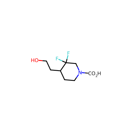 O=C(O)N1CCC(CCO)C(F)(F)C1